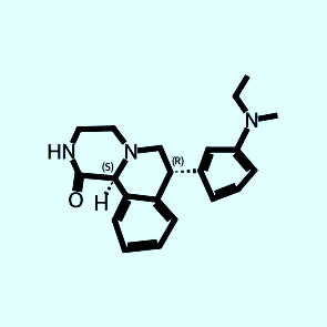 CCN(C)c1cccc([C@H]2CN3CCNC(=O)[C@@H]3c3ccccc32)c1